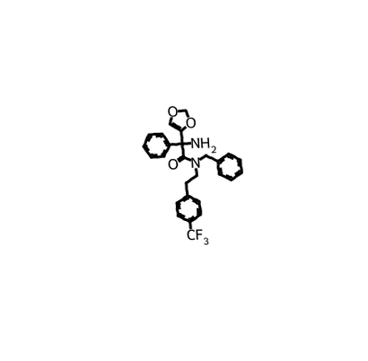 NC(C(=O)N(CCc1ccc(C(F)(F)F)cc1)Cc1ccccc1)(C1=COCO1)c1ccccc1